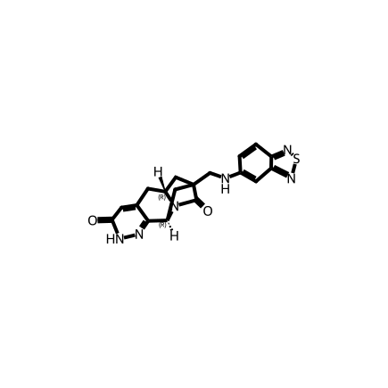 O=C1N2[C@@H]3Cc4cc(=O)[nH]nc4[C@H]2CC1(CNc1ccc2nsnc2c1)C3